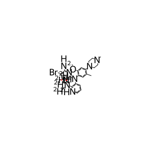 [2H]C([2H])([2H])N(c1ncccc1N(c1ncc(Br)c(N)n1)c1cc(C)c(N2CCN(C)CC2)cc1OC)C([2H])([2H])[2H]